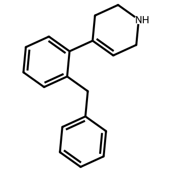 C1=C(c2ccccc2Cc2ccccc2)CCNC1